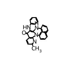 Cc1ccc2c(=O)c(Nc3ccccc3)c(Nc3ccccc3)n(-c3ccccc3)c2n1